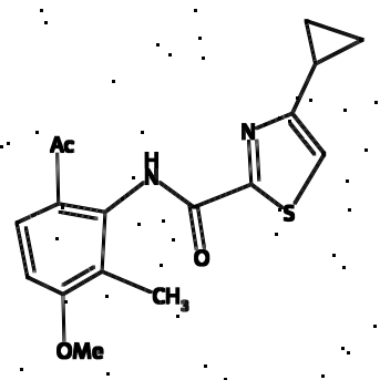 COc1ccc(C(C)=O)c(NC(=O)c2nc(C3CC3)cs2)c1C